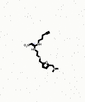 C#CCCCN/C(=C/[N+](=O)[O-])NCCSCc1ccc(CN(C)C)o1